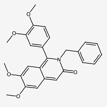 COc1ccc(-c2c3cc(OC)c(OC)cc3cc(=O)n2Cc2ccccc2)cc1OC